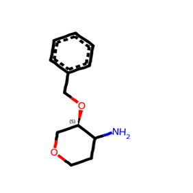 NC1CCOC[C@H]1OCc1ccccc1